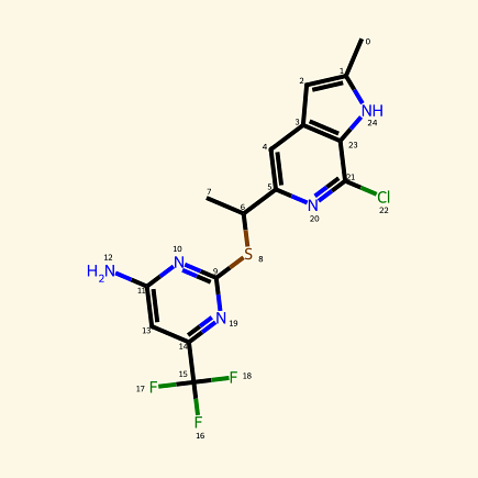 Cc1cc2cc(C(C)Sc3nc(N)cc(C(F)(F)F)n3)nc(Cl)c2[nH]1